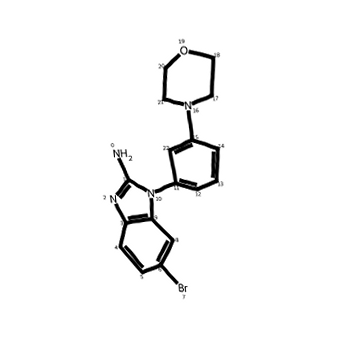 Nc1nc2ccc(Br)cc2n1-c1cccc(N2CCOCC2)c1